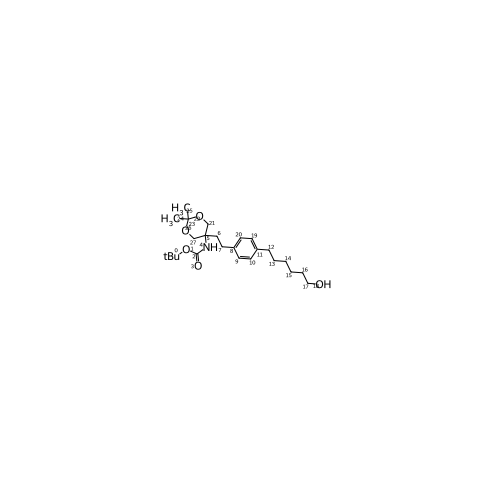 CC(C)(C)OC(=O)NC1(CCc2ccc(CCCCCCO)cc2)COC(C)(C)OC1